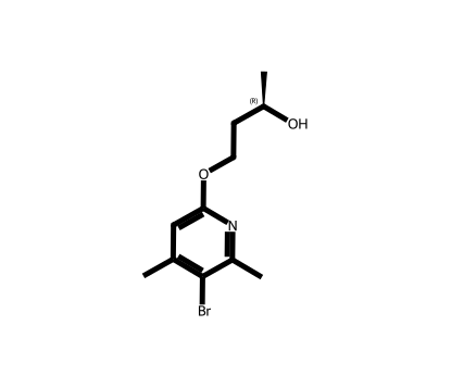 Cc1cc(OCC[C@@H](C)O)nc(C)c1Br